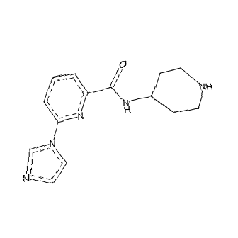 O=C(NC1CCNCC1)c1cccc(-n2ccnc2)n1